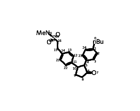 CCCCc1ccc(C2C(=O)CCC2c2ccc(CCS(=O)(=O)NC)cc2)cc1